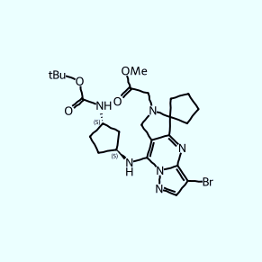 COC(=O)CN1Cc2c(nc3c(Br)cnn3c2N[C@H]2CC[C@H](NC(=O)OC(C)(C)C)C2)C12CCCC2